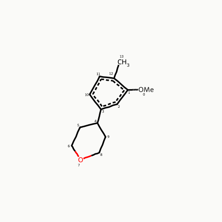 COc1cc(C2CCOCC2)ccc1C